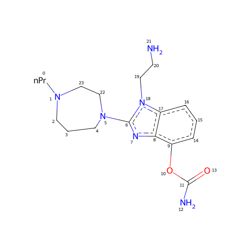 CCCN1CCCN(c2nc3c(OC(N)=O)cccc3n2CCN)CC1